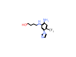 Nc1cc(C(F)(F)F)c(-n2ccnc2)cc1NCCCCO